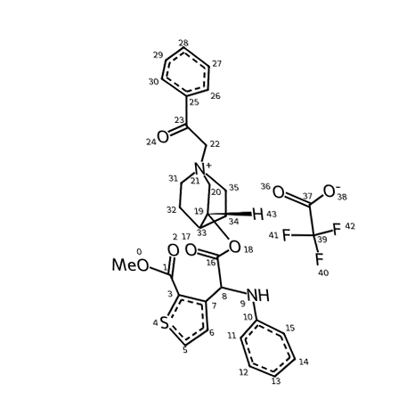 COC(=O)c1sccc1C(Nc1ccccc1)C(=O)O[C@H]1C[N+]2(CC(=O)c3ccccc3)CCC1CC2.O=C([O-])C(F)(F)F